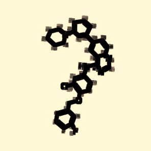 Fc1cccc(COc2ccc(Nc3ncnc4ccc(-c5cccc(N6CCCCC6)c5)cc34)cc2Cl)c1